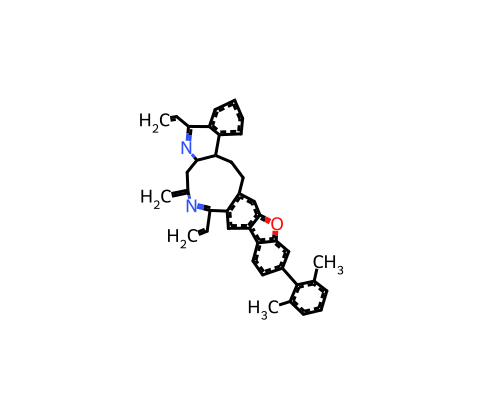 C=CC1=NC2CC(=C)/N=C(/C=C)c3cc4c(cc3CCC2c2ccccc21)oc1cc(-c2c(C)cccc2C)ccc14